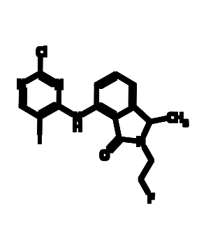 CC1c2cccc(Nc3nc(Cl)ncc3I)c2C(=O)N1CCF